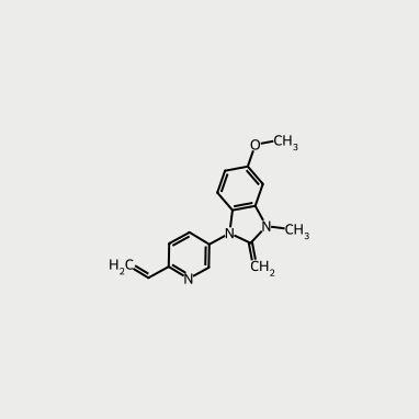 C=Cc1ccc(N2C(=C)N(C)c3cc(OC)ccc32)cn1